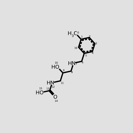 Cc1cccc(CNCC(O)CNC(=O)O)c1